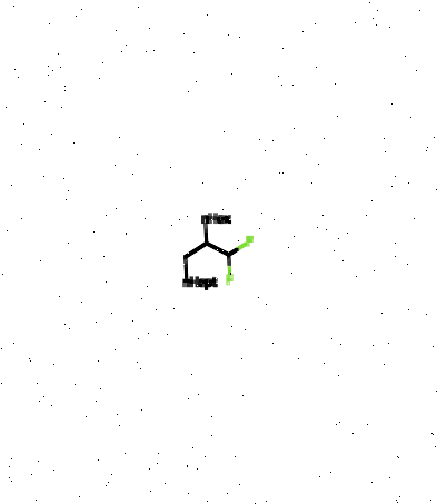 CCCCCCCCC(CCCCCC)C(F)F